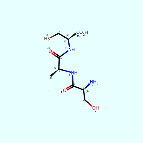 C[C@H](NC(=O)[C@@H](N)CO)C(=O)N[C@@H](CS)C(=O)O